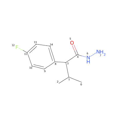 CC(C)C(C(=O)NN)c1ccc(F)cc1